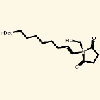 CCCCCCCCCCCCCCCCC=C[N+]1(CO)C(=O)CCC1=O